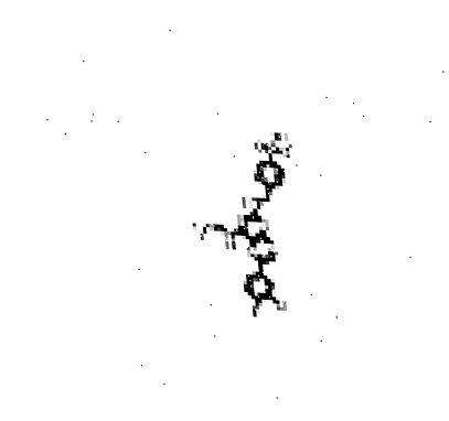 NS(=O)(=O)c1ccc(CNc2nc(NCC(F)(F)F)c3nc(-c4ccc(F)c(Cl)c4)cnc3n2)cc1